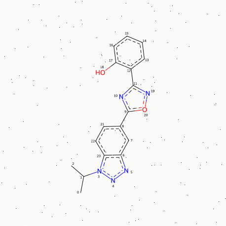 CC(C)n1nnc2cc(-c3nc(-c4ccccc4O)no3)ccc21